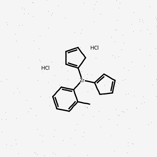 Cc1cccc[c]1[Zr]([C]1=CC=CC1)[C]1=CC=CC1.Cl.Cl